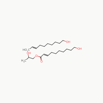 CC(O)COC(=O)C=CCCCCCCCO.O=C(O)C=CCCCCCCCO